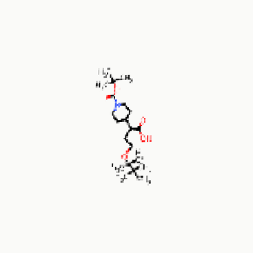 CC(C)(C)OC(=O)N1CCC(C(CCO[Si](C)(C)C(C)(C)C)C(=O)O)CC1